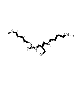 CCCCCCCCCCCCCCOCC(COP(O)OCCCCNC)CC(C)=O